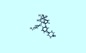 C=CNOC(O)c1c(-c2cccc(N3CCNCC3)c2)ccn1S(N)(=O)=O